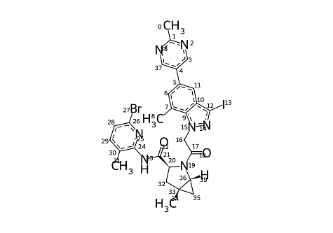 Cc1ncc(-c2cc(C)c3c(c2)c(I)nn3CC(=O)N2[C@H](C(=O)Nc3nc(Br)ccc3C)C[C@@]3(C)C[C@@H]23)cn1